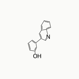 Oc1cccc(-c2cnc3ccccc3c2)c1